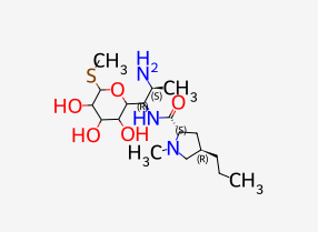 CCC[C@@H]1C[C@@H](C(=O)N[C@@H](C2OC(SC)C(O)C(O)C2O)[C@H](C)N)N(C)C1